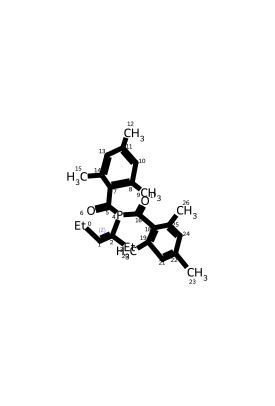 CC/C=C(/CC)P(C(=O)c1c(C)cc(C)cc1C)C(=O)c1c(C)cc(C)cc1C